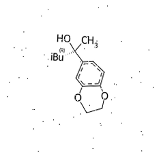 CC[C@@H](C)C(C)(O)c1ccc2c(c1)OCCO2